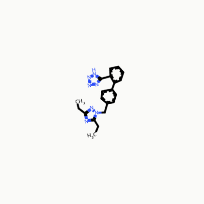 CCc1nc(CC)n(Cc2ccc(-c3ccccc3-c3nnn[nH]3)cc2)n1